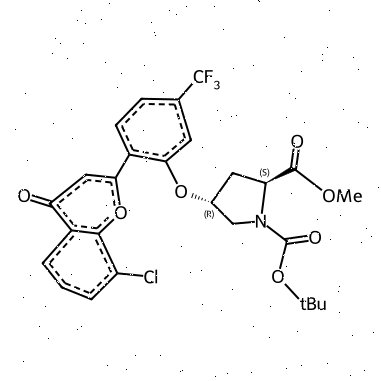 COC(=O)[C@@H]1C[C@@H](Oc2cc(C(F)(F)F)ccc2-c2cc(=O)c3cccc(Cl)c3o2)CN1C(=O)OC(C)(C)C